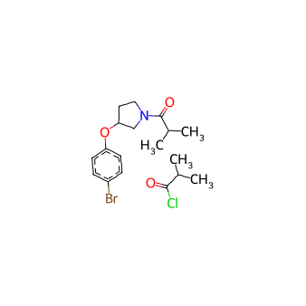 CC(C)C(=O)Cl.CC(C)C(=O)N1CCC(Oc2ccc(Br)cc2)C1